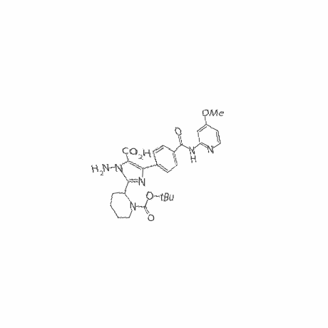 COc1ccnc(NC(=O)c2ccc(-c3nc(C4CCCCN4C(=O)OC(C)(C)C)n(N)c3C(=O)O)cc2)c1